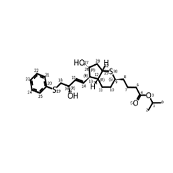 CC(C)OC(=O)CCC[C@H]1CC[C@@H]2[C@@H](C=C[C@@H](O)CSc3ccccc3)[C@H](O)C[C@@H]2S1